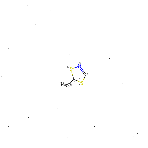 CSC1SC=NS1